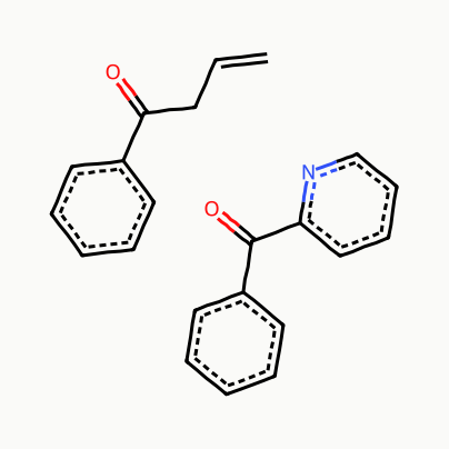 C=CCC(=O)c1ccccc1.O=C(c1ccccc1)c1ccccn1